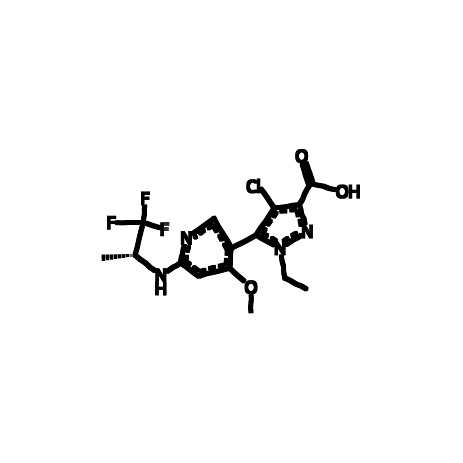 CCn1nc(C(=O)O)c(Cl)c1-c1cnc(N[C@H](C)C(F)(F)F)cc1OC